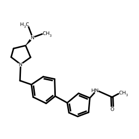 CC(=O)Nc1cccc(-c2ccc(CN3CC[C@@H](N(C)C)C3)cc2)c1